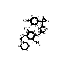 Cc1cc(/N=C\N2CCCCC2)c(Cl)cc1Oc1nc(C2(c3ccc(Cl)cc3)CC2)ns1